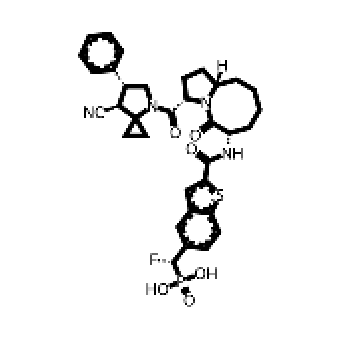 N#C[C@H]1[C@H](c2ccccc2)CN(C(=O)[C@@H]2CC[C@@H]3CCCC[C@H](NC(=O)c4cc5cc([C@@H](F)P(=O)(O)O)ccc5s4)C(=O)N32)C12CC2